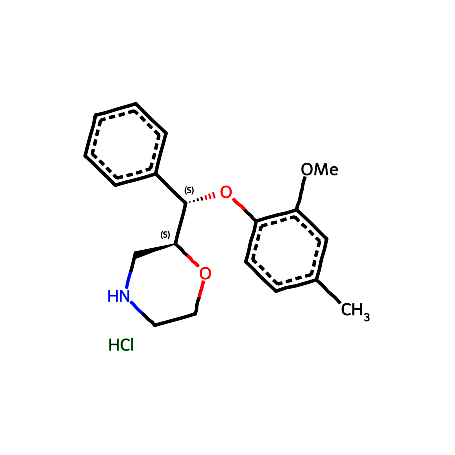 COc1cc(C)ccc1O[C@@H](c1ccccc1)[C@@H]1CNCCO1.Cl